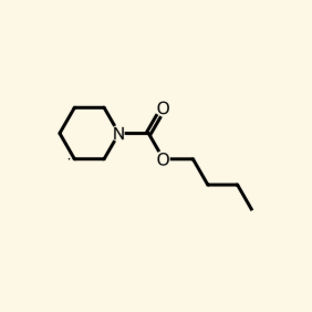 CCCCOC(=O)N1C[CH]CCC1